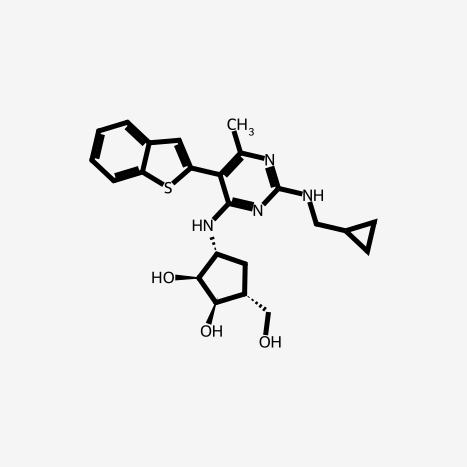 Cc1nc(NCC2CC2)nc(N[C@@H]2C[C@H](CO)[C@@H](O)[C@H]2O)c1-c1cc2ccccc2s1